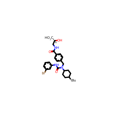 CC(C)(C)C1CCC(N(Cc2ccc(C(=O)NC[C@@H](O)C(=O)O)cc2)C(=O)Nc2cccc(Br)c2)CC1